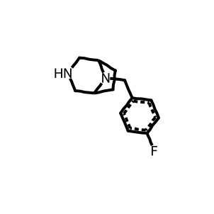 Fc1ccc(CN2C3CCC2CNC3)cc1